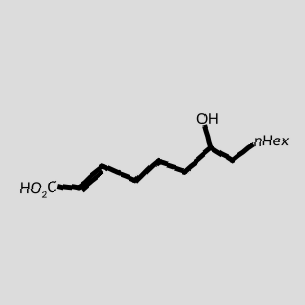 CCCCCCCC(O)CCCC=CC(=O)O